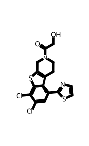 O=C(CO)N1CCc2c(sc3c(Cl)c(Cl)cc(-c4nccs4)c23)C1